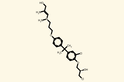 CC(C)(c1ccc(OCCCN(N)/C=C(\N)CO)cc1)c1ccc(OC[C@@H](O)CCl)c(Cl)c1